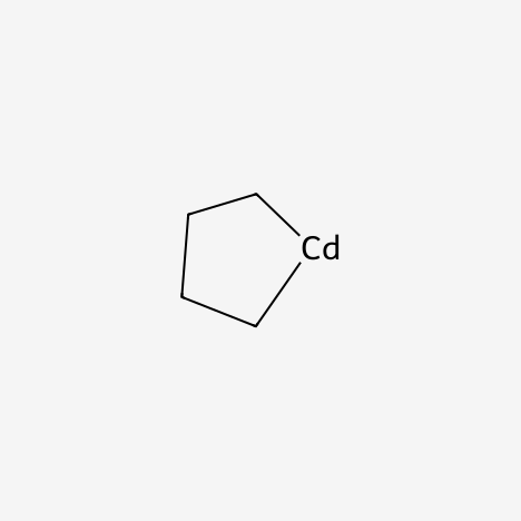 C1C[CH2][Cd][CH2]1